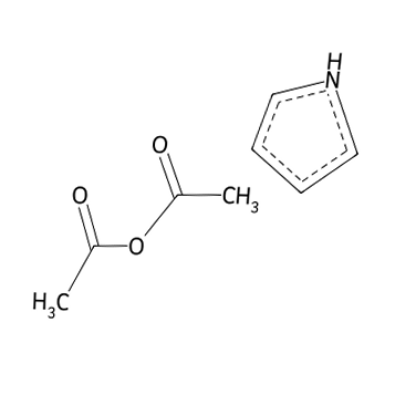 CC(=O)OC(C)=O.c1cc[nH]c1